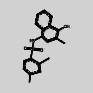 Cc1ccc(S(=O)(=O)Nc2cc(C)c(O)c3ccccc23)c(C)c1